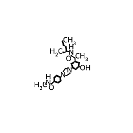 C=C/C(=C\C=C/C)NC(=O)C(C)c1cc(O)cc(N2CCN(c3ccc(C(=O)NC)cc3)CC2)c1